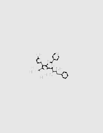 Cc1ccc(-c2c(C(C)(C)C)sc3c(C(N)C(N)Cc4ccccc4)nc(-c4ccncc4)nc23)s1